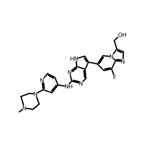 CN1CCN(c2cc(Nc3ncc4c(-c5cc(F)c6ncc(CO)n6c5)c[nH]c4n3)ccn2)CC1